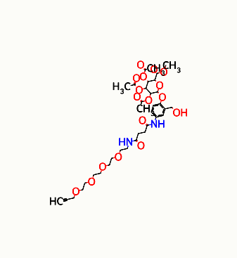 C#CCOCCOCCOCCOCCNC(=O)CCC(=O)Nc1ccc(O[C@@H]2OC(C(=O)OC)[C@@H](OC(C)=O)C(OC(C)=O)C2OC(C)=O)c(CO)c1